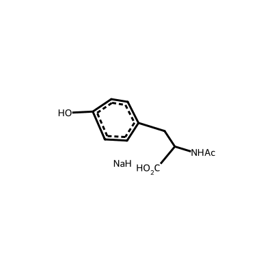 CC(=O)NC(Cc1ccc(O)cc1)C(=O)O.[NaH]